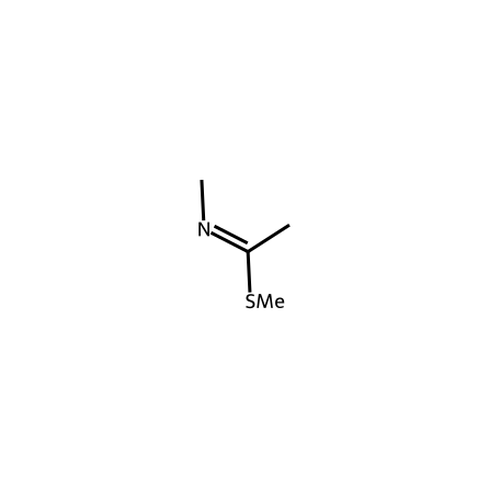 CN=C(C)SC